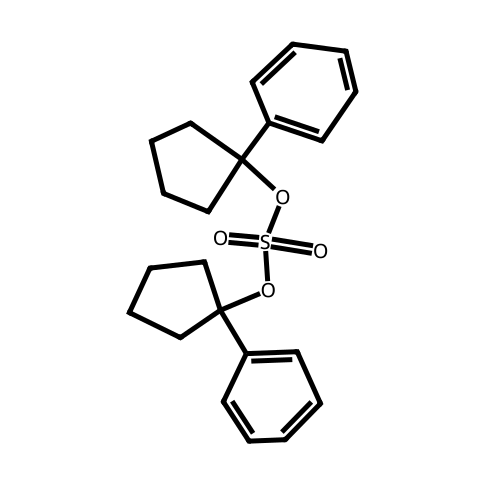 O=S(=O)(OC1(c2ccccc2)CCCC1)OC1(c2ccccc2)CCCC1